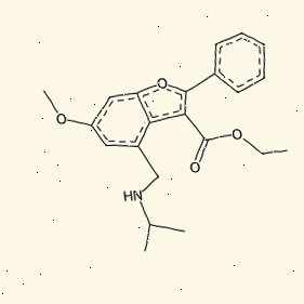 CCOC(=O)c1c(-c2ccccc2)oc2cc(OC)cc(CNC(C)C)c12